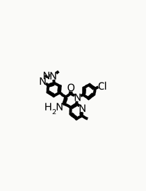 Cc1ccc2c(N)c(-c3ccc4nnn(C)c4c3)c(=O)n(-c3ccc(Cl)cc3)c2n1